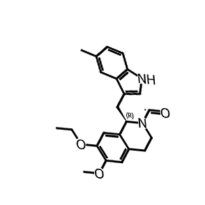 CCOc1cc2c(cc1OC)CCN([C]=O)[C@@H]2Cc1c[nH]c2ccc(C)cc12